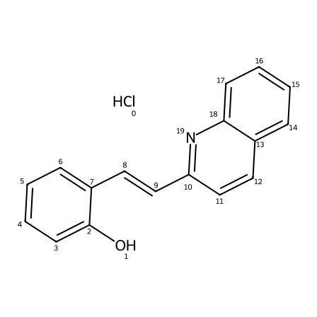 Cl.Oc1ccccc1C=Cc1ccc2ccccc2n1